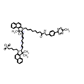 Cc1nnc(-c2ccc(CNC(=O)CCCCCCCN3/C(=C/C=C/C=C/C=C/C4=[N+](CCCCS(=O)(=O)[O-])c5ccc6ccccc6c5C4(C)C)C(C)(C)c4c3ccc3ccccc43)cc2)nn1